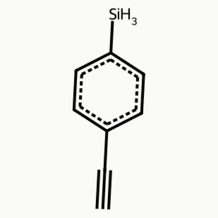 C#Cc1ccc([SiH3])cc1